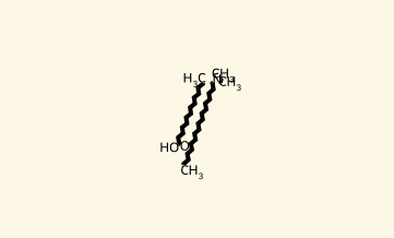 CCCCCCCCCCCCCC(=O)O.CCCCCCCCCCCCCCCCCCN(C)C